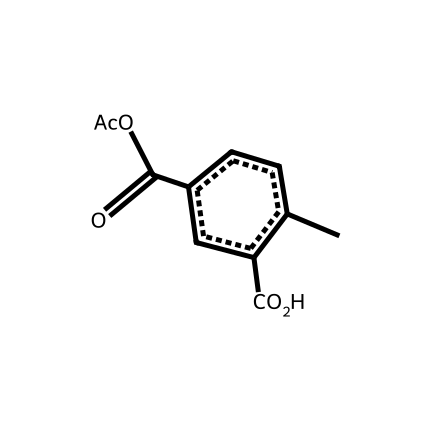 CC(=O)OC(=O)c1ccc(C)c(C(=O)O)c1